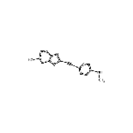 CNc1ccc(C#Cc2nc3ccc(O)cc3s2)cc1